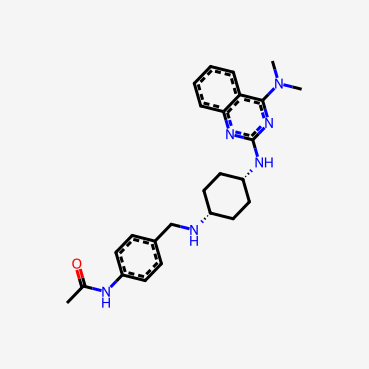 CC(=O)Nc1ccc(CN[C@H]2CC[C@@H](Nc3nc(N(C)C)c4ccccc4n3)CC2)cc1